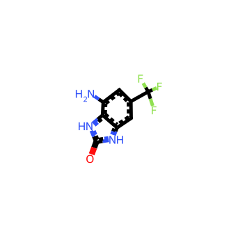 Nc1cc(C(F)(F)F)cc2[nH]c(=O)[nH]c12